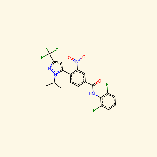 CC(C)n1nc(C(F)(F)F)cc1-c1ccc(C(=O)Nc2c(F)cccc2F)cc1[N+](=O)[O-]